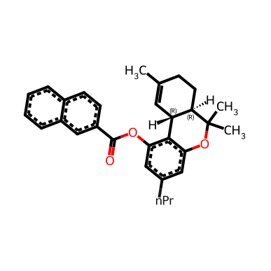 CCCc1cc(OC(=O)c2ccc3ccccc3c2)c2c(c1)OC(C)(C)[C@@H]1CCC(C)=C[C@@H]21